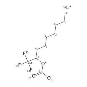 CCCCCCCC(OC(=O)[O-])C(F)(F)F.[Li+]